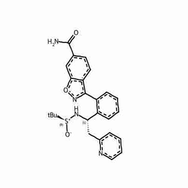 CC(C)(C)[S@+]([O-])N[C@@H](Cc1ccccn1)c1ccccc1-c1noc2cc(C(N)=O)ccc12